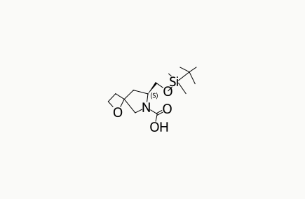 CC(C)(C)[Si](C)(C)OC[C@@H]1CC2(CCO2)CN1C(=O)O